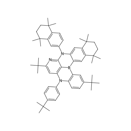 CC(C)(C)c1ccc(N2c3ccc(C(C)(C)C)cc3B3c4cc5c(cc4N(c4ccc6c(c4)C(C)(C)CCC6(C)C)c4nc(C(C)(C)C)cc2c43)C(C)(C)CCC5(C)C)cc1